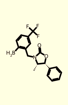 Bc1ccc(C(F)(F)F)cc1CN1C(=O)O[C@H](c2ccccc2)[C@@H]1C